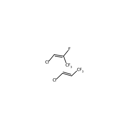 F/C(=C/Cl)C(F)(F)F.FC(F)(F)/C=C/Cl